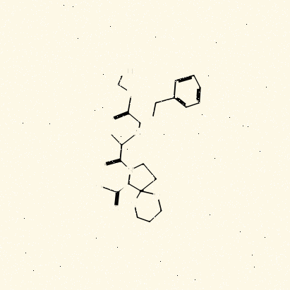 CCOC(=O)[C@H](CCc1ccccc1)NC(C)C(=O)N1CCC2(OCCCO2)[C@H]1C(=O)O